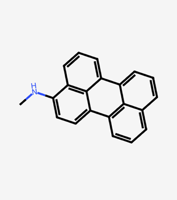 CNc1ccc2c3cccc4cccc(c5cccc1c52)c43